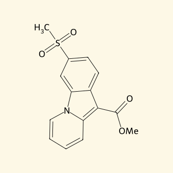 COC(=O)c1c2ccc(S(C)(=O)=O)cc2n2ccccc12